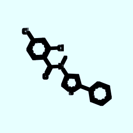 CN(C(=O)c1ccc(Cl)cc1Cl)c1csc(-c2ccccc2)c1